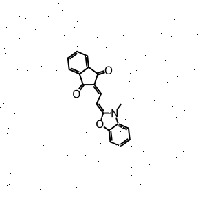 CN1/C(=C\C=C2C(=O)c3ccccc3C2=O)Oc2ccccc21